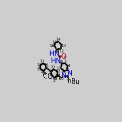 CCCCc1nc2ccc(NC(=O)Nc3ccccc3)cc2n1Cc1ccc(-c2ccccc2C(=O)O)cc1